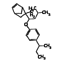 CCC(C)c1ccc(OC(CC(C)C)C2(C)CC3C=CC2C3)cc1